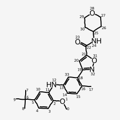 COc1ccc(C(C)(C)C)cc1Nc1ccc(C)c(-c2cc(C(=O)NC3CCOCC3)on2)c1